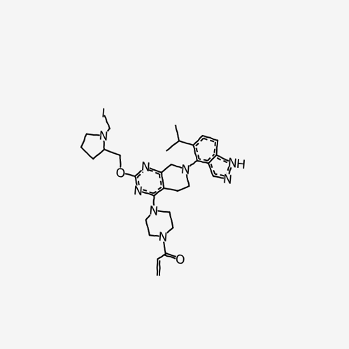 C=CC(=O)N1CCN(c2nc(OCC3CCCN3CI)nc3c2CCN(c2c(C(C)C)ccc4[nH]ncc24)C3)CC1